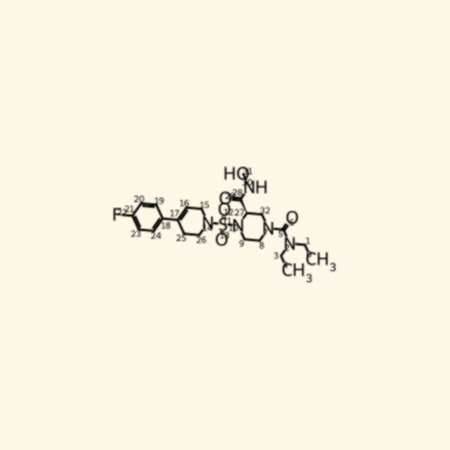 CCN(CC)C(=O)N1CCN(S(=O)(=O)N2CC=C(c3ccc(F)cc3)CC2)[C@@H](C(=O)NO)C1